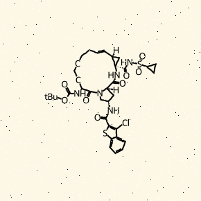 CC(C)(C)OC(=O)N[C@H]1CCCCC/C=C\[C@@H]2C[C@@]2(C(=O)NS(=O)(=O)C2CC2)NC(=O)[C@@H]2C[C@@H](NC(=O)c3sc4ccccc4c3Cl)CN2C1=O